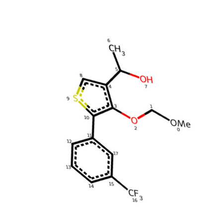 COCOc1c(C(C)O)csc1-c1cccc(C(F)(F)F)c1